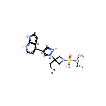 CN(C)S(=O)(=O)N1CC(CC#N)(n2cc(-c3ccnc4[nH]ccc34)cn2)C1